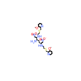 COc1cccnc1CSCCNC(=C[N+](=O)[O-])CCC(N)C(=C[N+](=O)[O-])NCCSCc1ncccc1OC